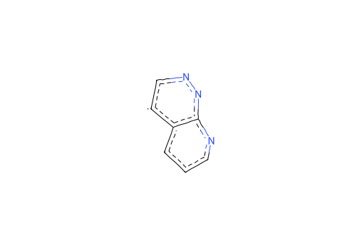 [c]1cnnc2ncccc12